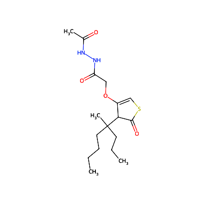 CCCCC(C)(CCC)C1C(=O)SC=C1OCC(=O)NNC(C)=O